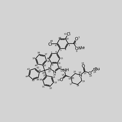 COC(=O)c1cc(-c2ccc3c(c2)c(NC(=O)[C@@H]2CCCN(C(=O)OC(C)(C)C)C2)nn3C(c2ccccc2)(c2ccccc2)c2ccccc2)c(Cl)cc1Cl